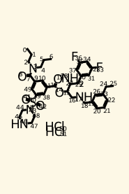 CCCN(CCC)C(=O)c1cc(C(=O)OC(CNCc2cccc(CC)c2)C(N)Cc2cc(F)cc(F)c2)cc(S(=O)(=O)N2CCNCC2)c1.Cl.Cl